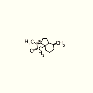 C=C1CCCC2(C)C1CC[C@@H]2[C@H](C)C=O